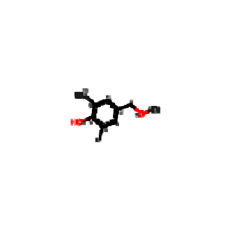 CCOCc1cc(C)c(O)c(C(C)(C)C)c1